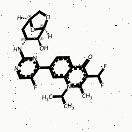 Cc1c(C(F)F)c(=O)c2ccc(-c3nc(N[C@@H]4C[C@H]5CO[C@H](O5)[C@H]4O)ncc3F)cc2n1C(C)C